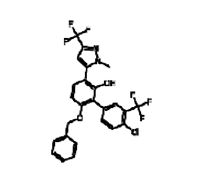 Cn1nc(C(F)(F)F)cc1-c1ccc(OCc2ccccc2)c(-c2ccc(Cl)c(C(F)(F)F)c2)c1O